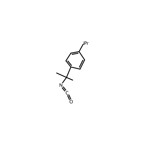 CC(C)c1ccc(C(C)(C)N=C=O)cc1